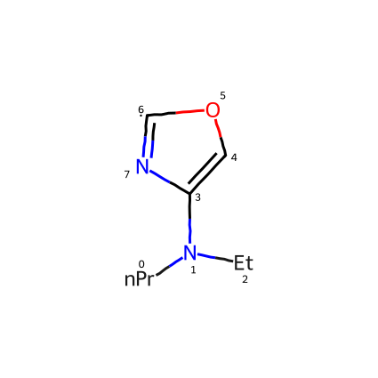 CCCN(CC)c1co[c]n1